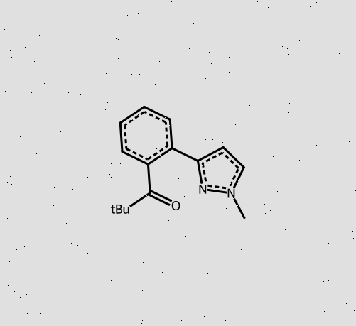 Cn1ccc(-c2ccccc2C(=O)C(C)(C)C)n1